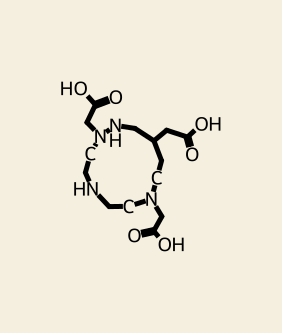 O=C(O)CC1CCN(CC(=O)O)CCNCCN(CC(=O)O)NC1